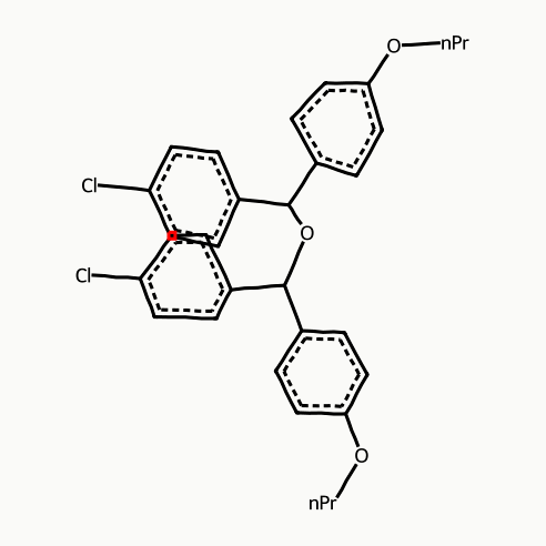 CCCOc1ccc(C(OC(c2ccc(Cl)cc2)c2ccc(OCCC)cc2)c2ccc(Cl)cc2)cc1